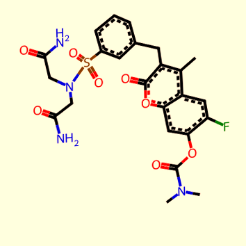 Cc1c(Cc2cccc(S(=O)(=O)N(CC(N)=O)CC(N)=O)c2)c(=O)oc2cc(OC(=O)N(C)C)c(F)cc12